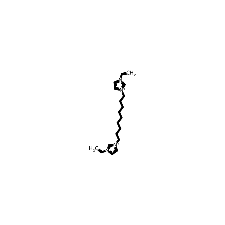 C=Cn1cc[n+](CCCCCCCCC[n+]2ccn(C=C)c2)c1